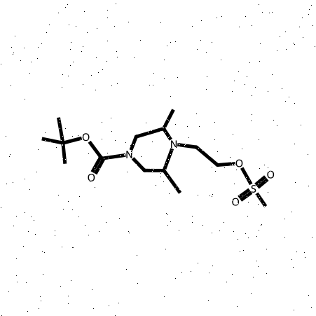 CC1CN(C(=O)OC(C)(C)C)CC(C)N1CCOS(C)(=O)=O